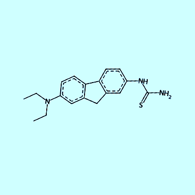 CCN(CC)c1ccc2c(c1)Cc1cc(NC(N)=S)ccc1-2